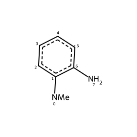 CNc1ccc[c]c1N